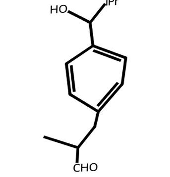 CC(C=O)Cc1ccc(C(O)C(C)C)cc1